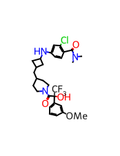 COc1cccc([C@@](O)(C(=O)N2CCC(CC3CC(Nc4ccc(C(=O)N(C)C)c(Cl)c4)C3)CC2)C(F)(F)F)c1